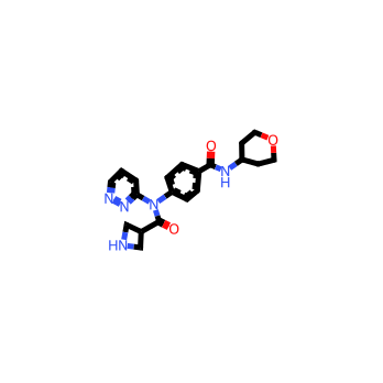 O=C(NC1CCOCC1)c1ccc(N(C(=O)C2CNC2)c2cccnn2)cc1